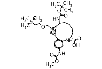 COC(=O)Nc1ccc2c(c1)N[C@@H](C(=O)O)CCCC[C@H](NC(=O)OC(C)(C)C)c1nc-2cn1COCC[Si](C)(C)C